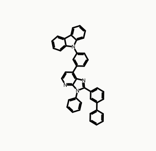 c1ccc(-c2cccc(-c3nc4c(-c5cccc(-n6c7ccccc7c7ccccc76)c5)ccnc4n3-c3ccccc3)c2)cc1